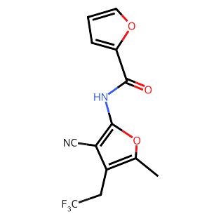 Cc1oc(NC(=O)c2ccco2)c(C#N)c1CC(F)(F)F